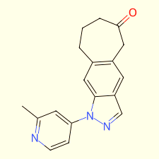 Cc1cc(-n2ncc3cc4c(cc32)CCCC(=O)C4)ccn1